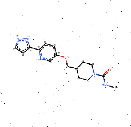 CC(C)NC(=O)N1CCC(COc2ccc(-c3ccn[nH]3)nc2)CC1